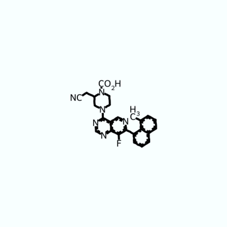 Cc1cccc2cccc(-c3ncc4c(N5CCN(C(=O)O)C(CC#N)C5)ncnc4c3F)c12